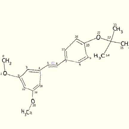 COc1cc(/C=C/c2ccc(OC(C)(C)C)cc2)cc(OC)c1